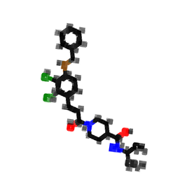 CC(NC(=O)C1CCN(C(=O)/C=C/c2ccc(SCc3ccccc3)c(Cl)c2Cl)CC1)C(=O)O